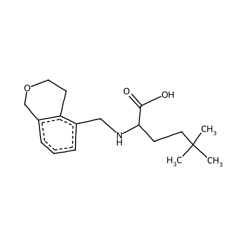 CC(C)(C)CCC(NCc1cccc2c1CCOC2)C(=O)O